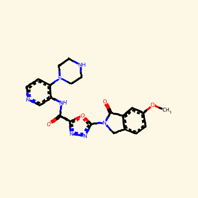 COc1ccc2c(c1)C(=O)N(c1nnc(C(=O)Nc3cnccc3N3CCNCC3)o1)C2